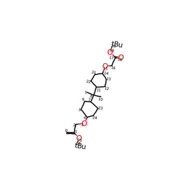 C=C(COC1CCC(C(C)(C)C2CCC(OCC(=O)OC(C)(C)C)CC2)CC1)OC(C)(C)C